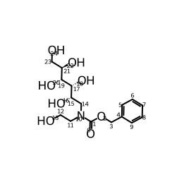 O=C(OCc1ccccc1)N(CCO)C[C@H](O)[C@@H](O)[C@H](O)[C@H](O)CO